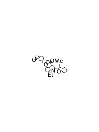 CCc1ccc(OCc2cccc([S+](C)[O-])c2)c2c(C(=O)OC)cc(-c3oc4ccccc4c3C)nc12